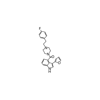 O=C(c1cccc2[nH]cc(-c3ccco3)c12)N1CCN(CCc2ccc(F)cc2)CC1